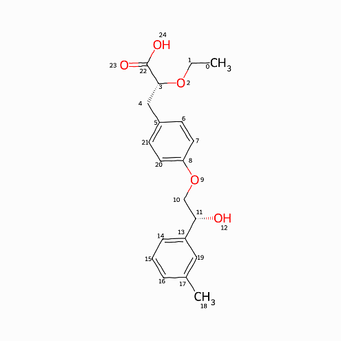 CCO[C@H](Cc1ccc(OC[C@H](O)c2cccc(C)c2)cc1)C(=O)O